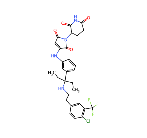 CCC(CC)(NCCc1ccc(Cl)c(C(F)(F)F)c1)c1cccc(NC2=CC(=O)N(C3CCC(=O)NC3=O)C2=O)c1